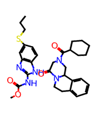 CCCSc1ccc2[nH]c(NC(=O)OC)nc2c1.O=C(C1CCCCC1)N1CC(=O)N2CCc3ccccc3C2C1